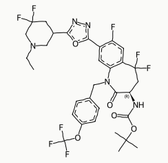 CCN1CC(c2nnc(-c3cc4c(cc3F)C(F)(F)C[C@@H](NC(=O)OC(C)(C)C)C(=O)N4Cc3ccc(OC(F)(F)F)cc3)o2)CC(F)(F)C1